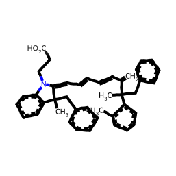 C=C(/C=C/C=C/C=C1/N(CCC(=O)O)c2ccccc2C1(C)Cc1ccccc1)C(C)(Cc1ccccc1)c1ccccc1C